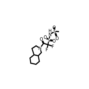 CS(=O)(=O)NS(=O)(=O)C(F)(F)C(=O)N1CCC2CCCCC2C1